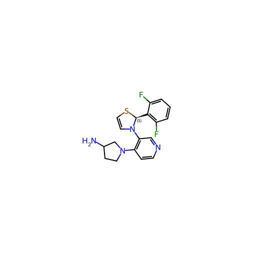 NC1CCN(c2ccncc2N2C=CS[C@H]2c2c(F)cccc2F)C1